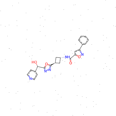 O=C(N[C@H]1C[C@H](c2nnc(C(O)c3ccncc3)o2)C1)c1cc(-c2ccccc2)no1